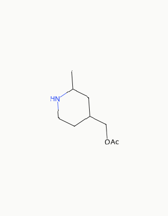 CC(=O)OCC1CCNC(C)C1